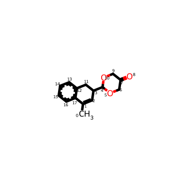 CC1=CC(C2OCC(=O)CO2)Cc2ccccc21